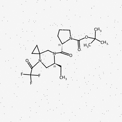 CC[C@H]1CN(C(=O)C(F)(F)F)C2(CC2)CN1C(=O)[C@@H]1CCCN1C(=O)OC(C)(C)C